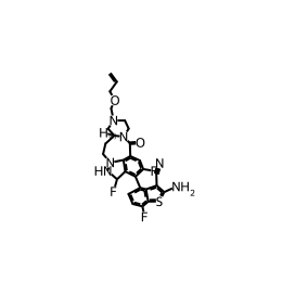 C=CCOCN1CCN2C(=O)c3cc(F)c(-c4ccc(F)c5sc(N)c(C#N)c45)c4c3N(CC[C@@H]2C1)NC4F